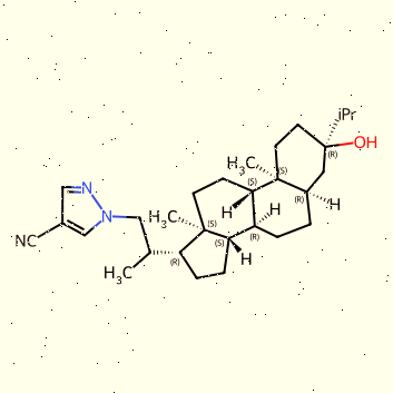 CC(Cn1cc(C#N)cn1)[C@H]1CC[C@H]2[C@@H]3CC[C@@H]4C[C@@](O)(C(C)C)CC[C@]4(C)[C@H]3CC[C@]12C